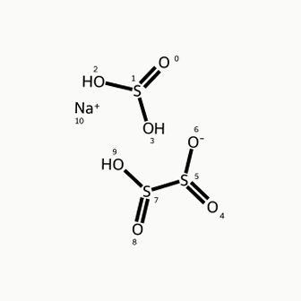 O=S(O)O.O=S([O-])S(=O)O.[Na+]